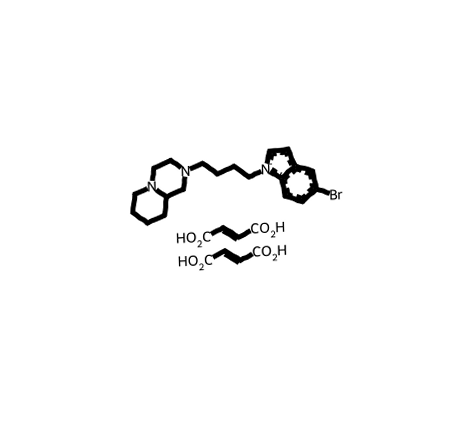 Brc1ccc2c(ccn2CCCCN2CCN3CCCCC3C2)c1.O=C(O)C=CC(=O)O.O=C(O)C=CC(=O)O